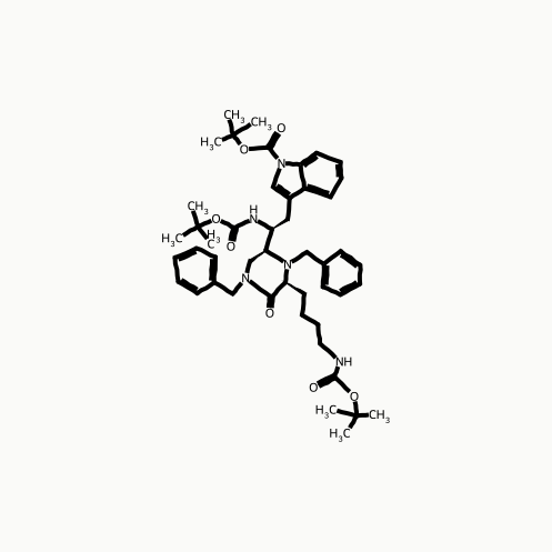 CC(C)(C)OC(=O)NCCCC[C@H]1C(=O)N(Cc2ccccc2)C[C@@H]([C@H](Cc2cn(C(=O)OC(C)(C)C)c3ccccc23)NC(=O)OC(C)(C)C)N1Cc1ccccc1